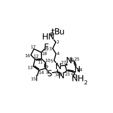 CC(C)(C)NCCCCn1c(Sc2cc3c(cc2I)CCC3F)nc2c(N)ncnc21